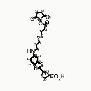 O=C(CCSSCCCNc1ccc2nc(C3=N[C@@H](C(=O)O)CS3)sc2c1)ON1C(=O)CCC1=O